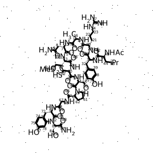 CSCC[C@H](NC(=O)[C@H](CC(N)=O)NC(=O)[C@H](C)NC(=O)[C@H](CCCNC(=N)N)NC(=O)[C@H](Cc1ccc(O)cc1)NC(=O)[C@H](CC(C)C)NC(C)=O)C(=O)N[C@H](C(=O)N[C@@H](CO)C(=O)N1CCC[C@H]1C(=O)NCC(=O)N[C@@H](Cc1ccc(O)cc1)C(=O)N[C@@H](CO)C(N)=O)[C@@H](S)C(=O)O